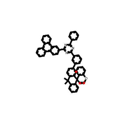 CC1(C)c2ccccc2C2(c3ccccc3Oc3ccccc32)c2cc(-c3cccc(-c4nc(-c5ccccc5)nc(-c5ccc6c7ccccc7c7ccccc7c6c5)n4)c3)ccc21